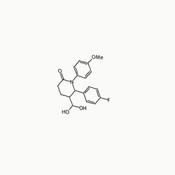 COc1ccc(N2C(=O)CCC(C(O)O)C2c2ccc(F)cc2)cc1